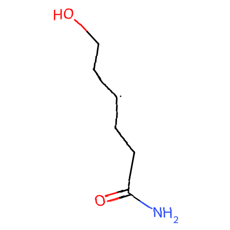 NC(=O)CC[CH]CCO